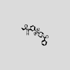 C=CC(=O)Nc1cccc(S(=O)(=O)N2CCN(C(=O)c3ccccc3)CC2)c1